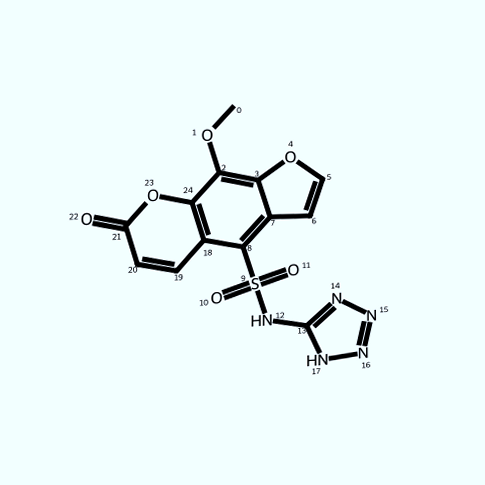 COc1c2occc2c(S(=O)(=O)Nc2nnn[nH]2)c2ccc(=O)oc12